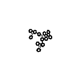 c1ccc(-n2c3ccccc3c3ccc(-c4ccc(N(c5ccc(-c6cccc7c6c6ccccc6n7-c6ccccc6)cc5)c5cccc6c5-c5ccccc5C65c6ccccc6-c6ccccc65)cc4)cc32)cc1